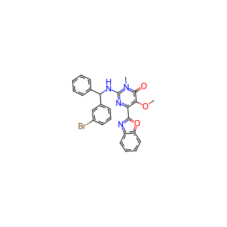 COc1c(-c2nc3ccccc3o2)nc(NC(c2ccccc2)c2cccc(Br)c2)n(C)c1=O